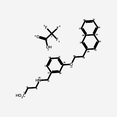 O=C(O)C(F)(F)F.O=C(O)CCNCc1cccc(OCCc2ccc3ccccc3c2)c1